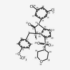 C[C@@]1(Cc2ccc(OC(F)(F)F)cc2)C(=O)N(c2cc(Cl)cc(Cl)c2)c2ncc(S(=O)(=O)N3CCOCC3)n21